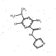 CN(C)c1nc(N)c(C(=O)Nc2cccnc2)nc1Cl